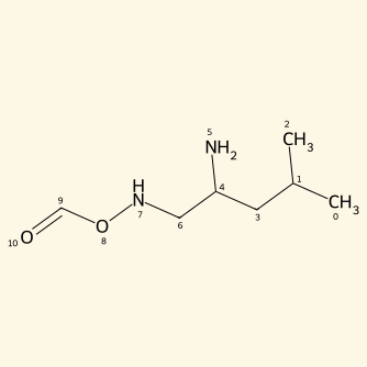 CC(C)CC(N)CNOC=O